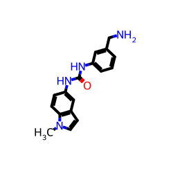 Cn1ccc2cc(NC(=O)Nc3cccc(CN)c3)ccc21